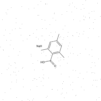 Cc1cc(C)c(C(=O)O)c(C)c1.[NaH]